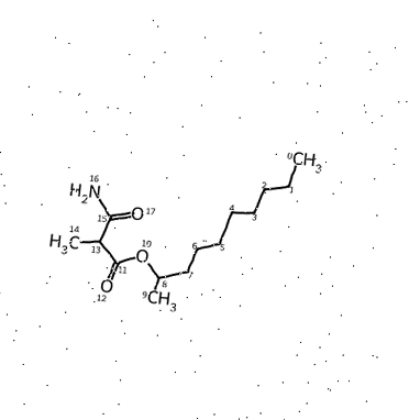 CCCCCCCCC(C)OC(=O)C(C)C(N)=O